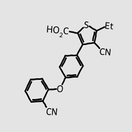 CCc1sc(C(=O)O)c(-c2ccc(Oc3ccccc3C#N)cc2)c1C#N